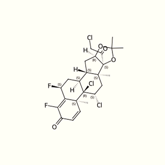 CC1(C)O[C@@H]2C[C@H]3[C@@H]4C[C@H](F)C5=C(F)C(=O)C=C[C@]5(C)[C@@]4(Cl)[C@@H](Cl)C[C@]3(C)[C@]2(C(=O)CCl)O1